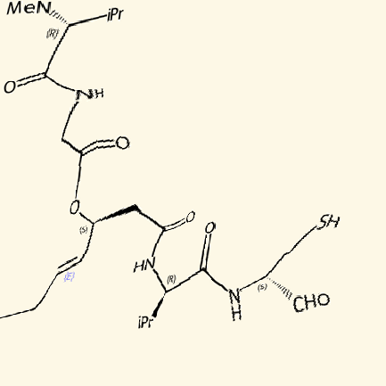 CN[C@@H](C(=O)NCC(=O)O[C@H](/C=C/CCS)CC(=O)N[C@@H](C(=O)N[C@@H](C=O)CS)C(C)C)C(C)C